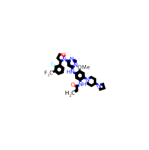 C=CC(=O)Nc1cc(Nc2cc(N3OCCC3c3cccc(C(F)(F)F)c3F)ncn2)c(OC)cc1N1CCC(N2CCC2)CC1